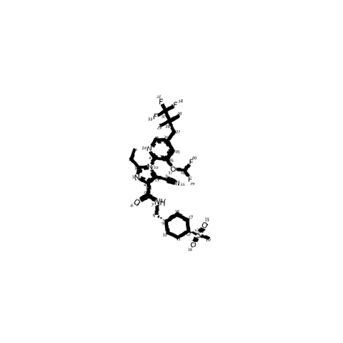 CCc1nc(C(=O)NC[C@H]2CC[C@H](S(C)(=O)=O)CC2)c(C#N)n1-c1ncc(CC(C)(C)C(F)(F)F)cc1OC(F)F